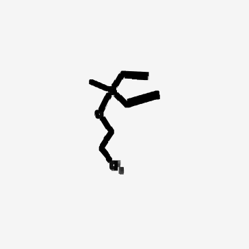 C=C[Si](C)(C=C)OCCC(F)(F)F